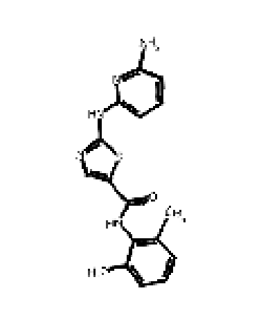 Cc1cccc(C)c1NC(=O)c1cnc(Nc2cccc(N)n2)s1